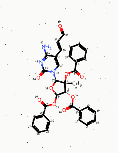 C[C@@]1(OC(=O)c2ccccc2)[C@H](OC(=O)c2ccccc2)C(OC(=O)c2ccccc2)O[C@H]1n1cc(C=CC=O)c(N)nc1=O